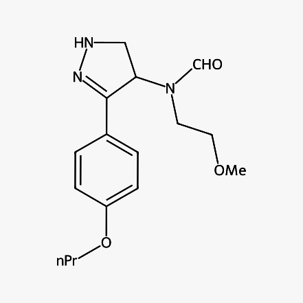 CCCOc1ccc(C2=NNCC2N(C=O)CCOC)cc1